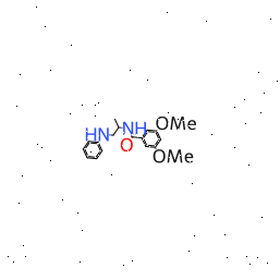 COc1cc(OC)cc(C(=O)NC(C)CNc2ccccc2)c1